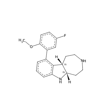 COc1ccc(F)cc1-c1cccc2c1[C@@H]1CCNCC[C@@H]1N2